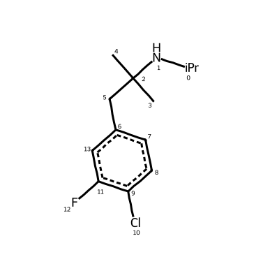 CC(C)NC(C)(C)Cc1ccc(Cl)c(F)c1